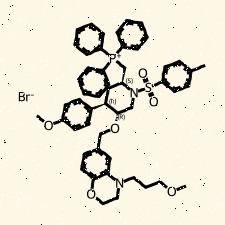 COCCCN1CCOc2ccc(CO[C@H]3CN(S(=O)(=O)c4ccc(C)cc4)[C@H](C[P+](c4ccccc4)(c4ccccc4)c4ccccc4)C[C@@H]3c3ccc(OC)cc3)cc21.[Br-]